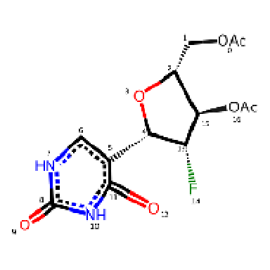 CC(=O)OC[C@H]1O[C@@H](c2c[nH]c(=O)[nH]c2=O)[C@@H](F)[C@@H]1OC(C)=O